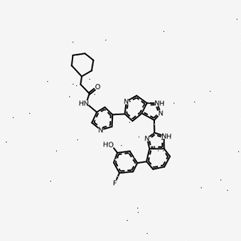 O=C(CC1CCCCC1)Nc1cncc(-c2cc3c(-c4nc5c(-c6cc(O)cc(F)c6)cccc5[nH]4)n[nH]c3cn2)c1